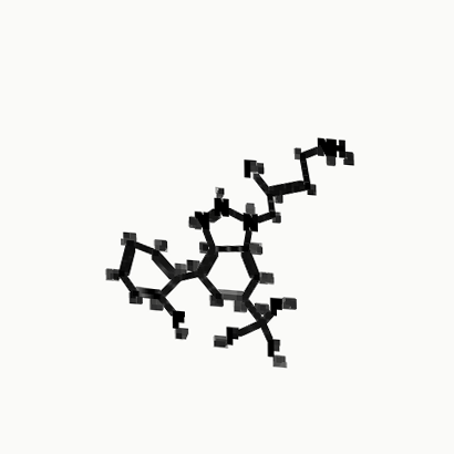 NC/C=C(\F)Cn1nnc2c(-c3c[c]ccc3F)cc(C(F)(F)F)cc21